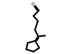 CC(CCCC=O)=C1CCCC1